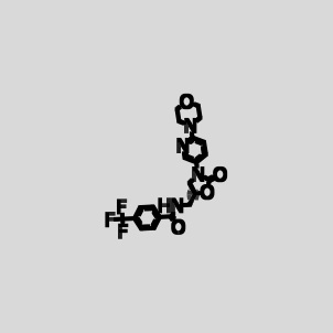 O=C(NC[C@H]1CN(c2ccc(N3CCOCC3)nc2)C(=O)O1)c1ccc(C(F)(F)F)cc1